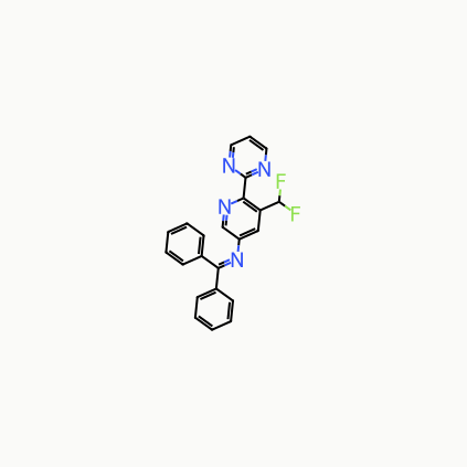 FC(F)c1cc(N=C(c2ccccc2)c2ccccc2)cnc1-c1ncccn1